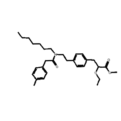 CCCCCCCN(CCc1ccc(CC(OCC)C(=O)OC)cc1)C(=O)Cc1ccc(C)cc1